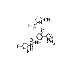 CC1CCCC(C)N1CCOc1ccc(NC(=O)Nc2ccc(F)cc2F)cc1-c1ccnn1C